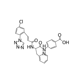 O=C(C=Cc1cc(Cl)ccc1-n1cnnn1)NC(Cc1ccccn1)C(=O)Nc1ccc(C(=O)O)cc1